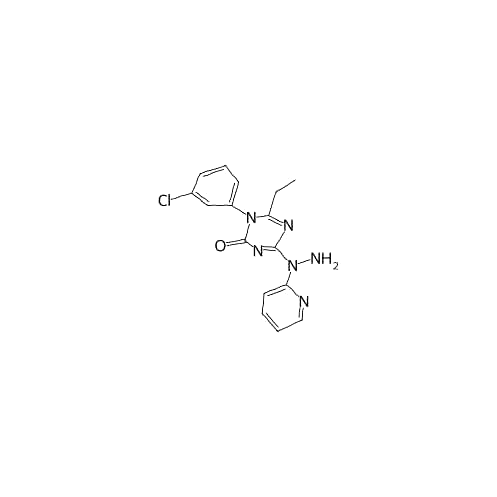 CCc1nc(N(N)c2ccccn2)nc(=O)n1-c1cccc(Cl)c1